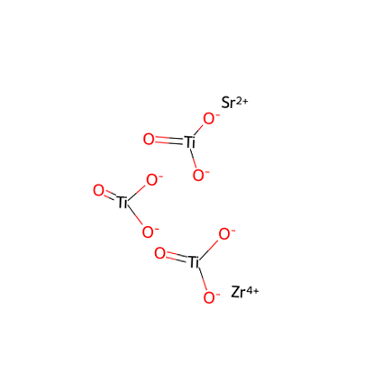 [O]=[Ti]([O-])[O-].[O]=[Ti]([O-])[O-].[O]=[Ti]([O-])[O-].[Sr+2].[Zr+4]